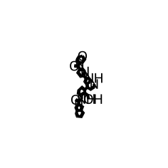 O=C(c1ccc(-c2cc3c(-c4cccc(NC(=O)n5cc6ccccc6c5)c4CO)ccnc3[nH]2)nc1)N1CCOCC1